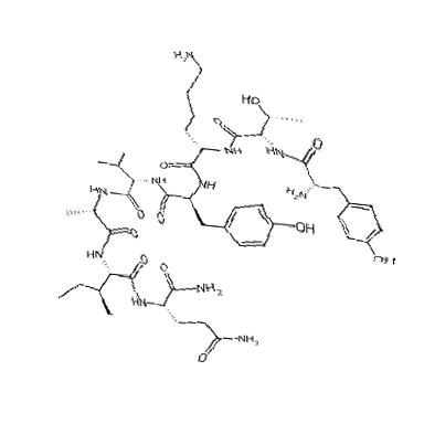 CC[C@H](C)[C@H](NC(=O)[C@H](C)NC(=O)[C@@H](NC(=O)[C@H](Cc1ccc(O)cc1)NC(=O)[C@H](CCCCN)NC(=O)[C@@H](NC(=O)[C@@H](N)Cc1ccc(O)cc1)[C@@H](C)O)C(C)C)C(=O)N[C@@H](CCC(N)=O)C(N)=O